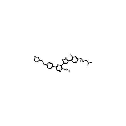 CC(F)CNCc1ccc(-c2cc(-c3nc(-c4ccc(CCC5CCOC5)cc4)cnc3N)on2)c(F)c1